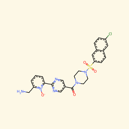 NCc1cccc(-c2ncc(C(=O)N3CCN(S(=O)(=O)c4ccc5cc(Cl)ccc5c4)CC3)cn2)[n+]1[O-]